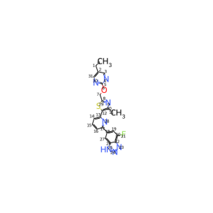 CCc1cnc(OCc2nc(C)c(-c3cccc(-c4cc(F)c5nn[nH]c5c4)n3)s2)nc1